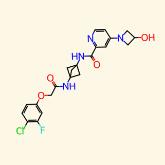 O=C(COc1ccc(Cl)c(F)c1)NC12CC(NC(=O)c3cc(N4CC(O)C4)ccn3)(C1)C2